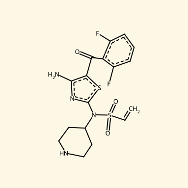 C=CS(=O)(=O)N(c1nc(N)c(C(=O)c2c(F)cccc2F)s1)C1CCNCC1